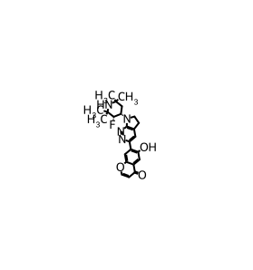 CC1(C)C[C@H](N2CCc3cc(-c4cc5occc(=O)c5cc4O)nnc32)[C@H](F)C(C)(C)N1